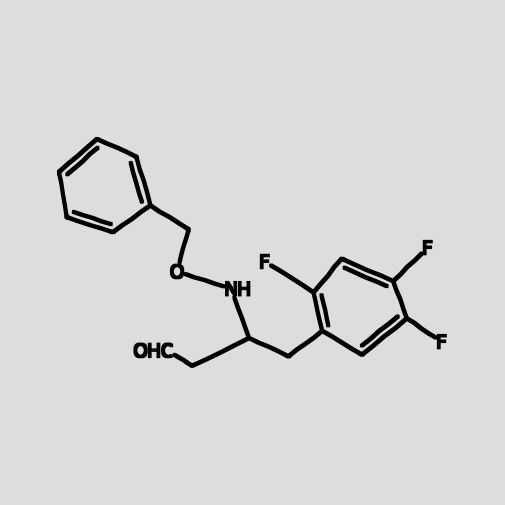 O=CCC(Cc1cc(F)c(F)cc1F)NOCc1ccccc1